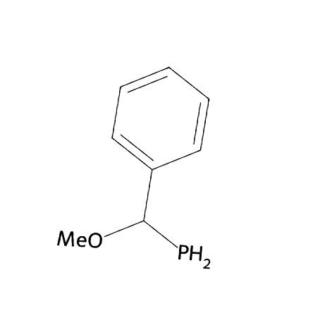 COC(P)c1ccccc1